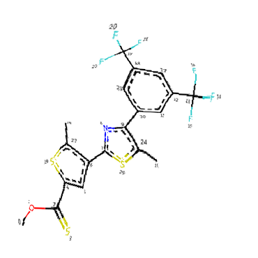 COC(=S)c1cc(-c2nc(-c3cc(C(F)(F)F)cc(C(F)(F)F)c3)c(C)s2)c(C)s1